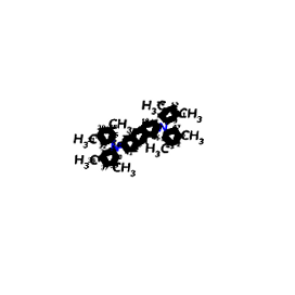 Cc1cc(C)cc(N(c2cc(C)cc(C)c2)c2ccc3cc4cc(N(c5cc(C)cc(C)c5)c5cc(C)cc(C)c5)ccc4cc3c2)c1